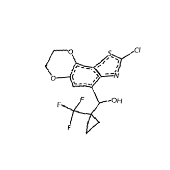 OC(c1cc2c(c3sc(Cl)nc13)OCCO2)C1(C(F)(F)F)CC1